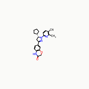 Cc1nc(N2N=C(c3ccc4c(c3)OCC(=O)N4)C[C@@H]2C2CCCC2)ccc1C#N